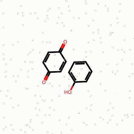 O=C1C=CC(=O)C=C1.Oc1ccccc1